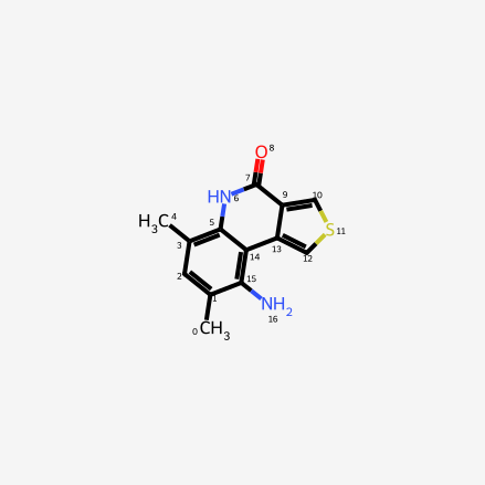 Cc1cc(C)c2[nH]c(=O)c3cscc3c2c1N